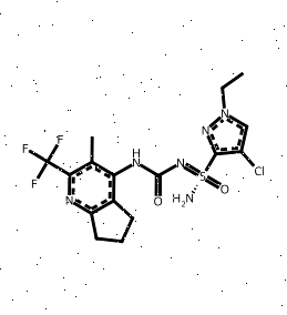 CCn1cc(Cl)c([S@@](N)(=O)=NC(=O)Nc2c(C)c(C(F)(F)F)nc3c2CCC3)n1